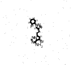 Nc1ncnn2c(CCc3cn(-c4ccccc4F)nn3)cc(Br)c12